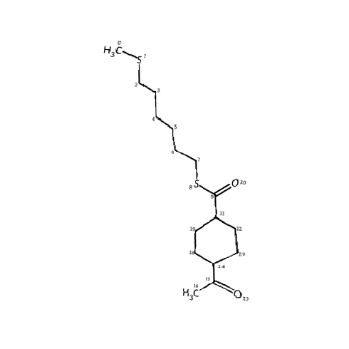 CSCCCCCCSC(=O)C1CCC(C(C)=O)CC1